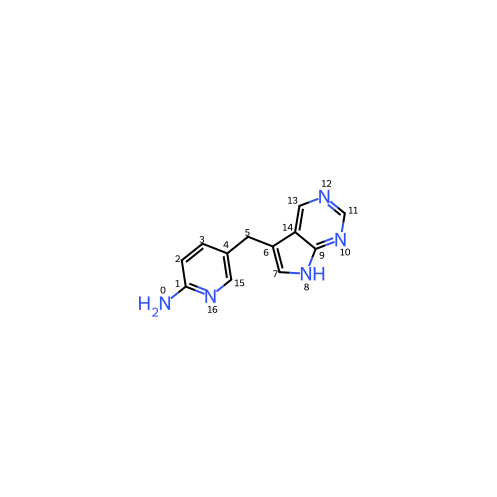 Nc1ccc(Cc2c[nH]c3ncncc23)cn1